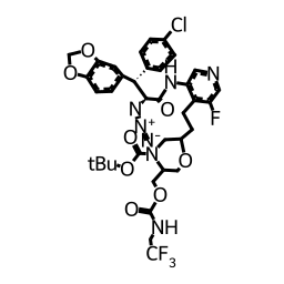 CC(C)(C)OC(=O)N1CC(CCc2c(F)cncc2NC(=O)[C@@H](N=[N+]=[N-])[C@@H](c2ccc(Cl)cc2)c2ccc3c(c2)OCO3)OCC1COC(=O)NCC(F)(F)F